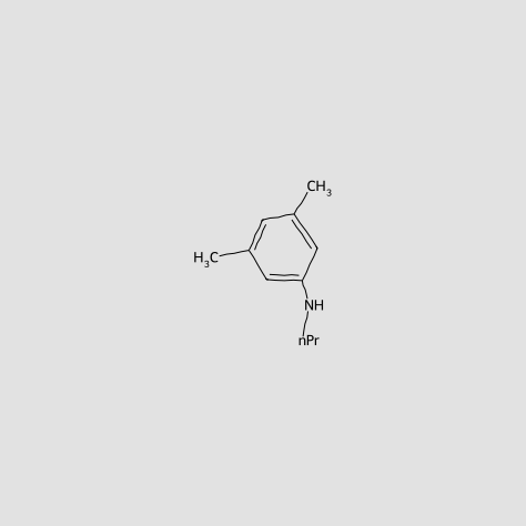 CCCNc1cc(C)cc(C)c1